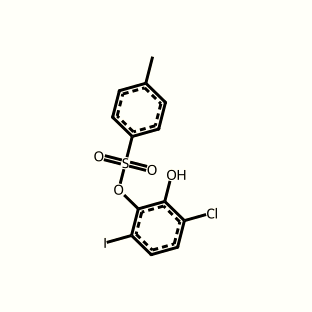 Cc1ccc(S(=O)(=O)Oc2c(I)ccc(Cl)c2O)cc1